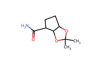 CC1(C)OC2CCC(C(N)=O)C2O1